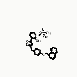 Nc1c(-c2cc(Cc3ccc(OCc4cccc5ccccc45)nc3)no2)ccc[n+]1COP(=O)(O)O